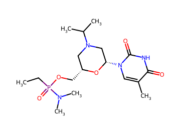 CCP(=O)(OC[C@@H]1CN(C(C)C)C[C@H](n2cc(C)c(=O)[nH]c2=O)O1)N(C)C